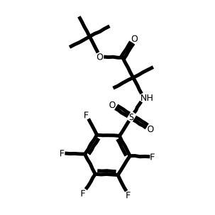 CC(C)(C)OC(=O)C(C)(C)NS(=O)(=O)c1c(F)c(F)c(F)c(F)c1F